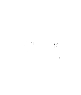 CC(CCC(C)(C)N1CC2CCC(C1)O2)N1C2CCC1COC2